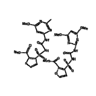 COC(=O)c1occc1S(=O)(=O)NC(=O)Nc1nc(OC)cc(OC)n1.COC(=O)c1sccc1S(=O)(=O)NC(=O)Nc1nc(C)nc(OC)n1